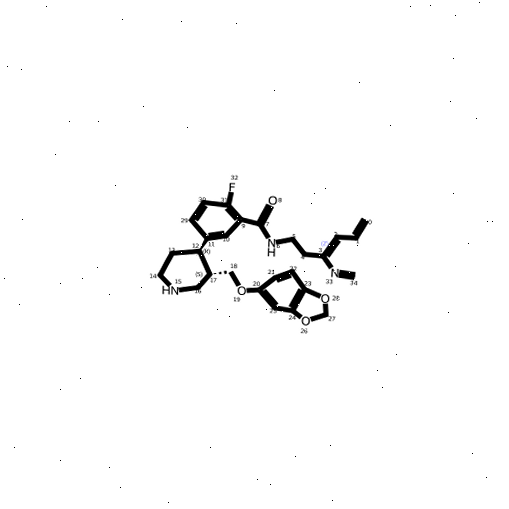 C=C/C=C(/CCNC(=O)c1cc([C@@H]2CCNC[C@H]2COc2ccc3c(c2)OCO3)ccc1F)N=C